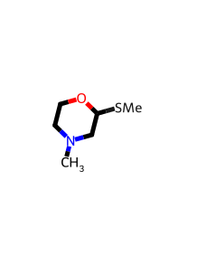 CSC1CN(C)CCO1